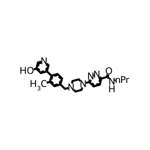 CCCNC(=O)c1ccc(N2CCN(Cc3ccc(-c4cncc(O)c4)c(C)c3)CC2)nn1